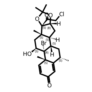 C[C@H]1C[C@H]2[C@@H]3C[C@H]4OC(C)(C)O[C@@]4(C(=O)CCl)[C@@]3(C)C[C@H](O)[C@]2(Br)[C@@]2(C)C=CC(=O)C=C12